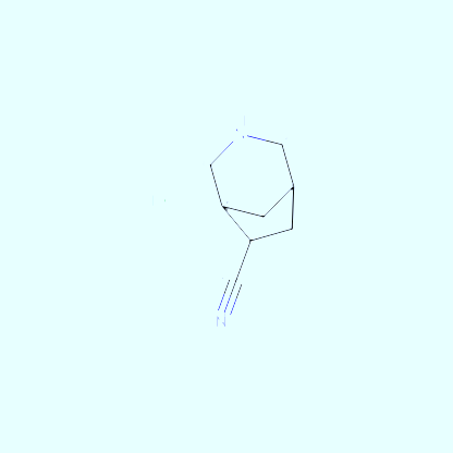 Cl.N#CC1CC2CNCC1C2